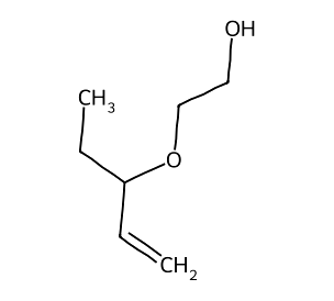 C=CC(CC)OCCO